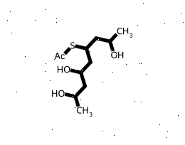 CC(=O)SC(CC(C)O)CC(O)CC(C)O